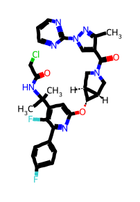 Cc1nn(-c2ncccn2)cc1C(=O)N1C[C@@H]2[C@H](C1)[C@H]2Oc1cc(C(C)(C)NC(=O)CCl)c(F)c(-c2ccc(F)cc2)n1